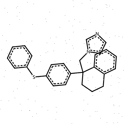 c1ccc(Sc2ccc(C3(Cn4ccnc4)CCCc4ccccc43)cc2)cc1